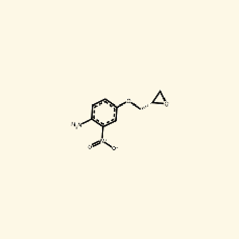 Nc1ccc(OC[C@@H]2CO2)cc1[N+](=O)[O-]